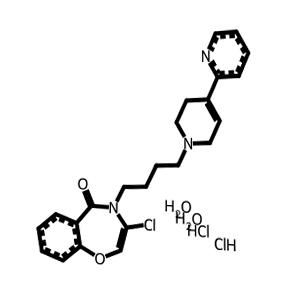 Cl.Cl.O.O.O=C1c2ccccc2OC=C(Cl)N1CCCCN1CC=C(c2ccccn2)CC1